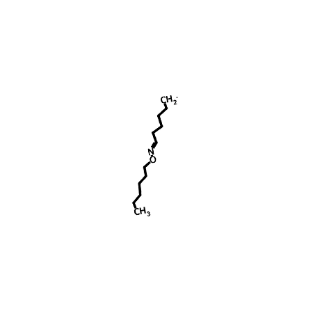 [CH2]CCCC/C=N/OCCCCCC